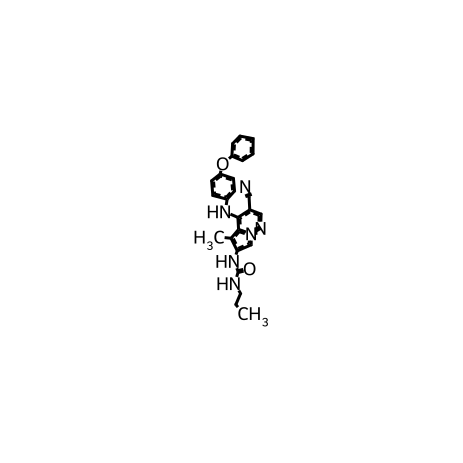 CCCNC(=O)Nc1cn2ncc(C#N)c(Nc3ccc(Oc4ccccc4)cc3)c2c1C